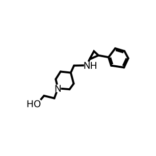 OCCN1CCC(CNC2CC2c2ccccc2)CC1